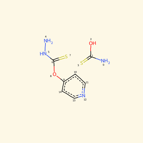 NC(O)=S.NNC(=S)Oc1ccncc1